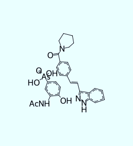 CC(=O)Nc1cc([As](=O)(O)O)ccc1O.O=C(c1ccc(C=Cc2n[nH]c3ccccc23)cc1)N1CCCCC1